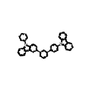 c1ccc(-n2c3ccccc3c3cc(-c4cccc(-c5ccc(-n6c7ccccc7c7ccccc76)cc5)c4)ccc32)cc1